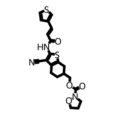 N#Cc1c(NC(=O)C=Cc2ccsc2)sc2c1CCC(COC(=O)N1CCCO1)C2